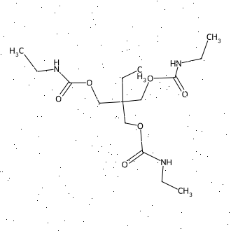 CCNC(=O)OCC(CC)(COC(=O)NCC)COC(=O)NCC